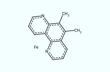 Cc1c(C)c2ncccc2c2ncccc12.[Fe]